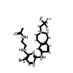 CC(=O)NCCNc1nc(Nc2ccc3c(c2)CCN(CC(F)(F)F)CC3)ncc1Br